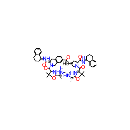 CN[C@@H](C)C(=O)NC(C(=O)N1Cc2cc(C(=O)B[C@H]3C[C@@H](C(=O)N[C@@H]4CCCc5ccccc54)N(C(=O)[C@@H](NC(=O)[C@H](C)NC)C(C)(C)C)C3)ccc2C[C@H]1C(=O)N[C@@H]1CCCc2ccccc21)C(C)(C)C